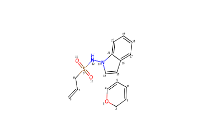 C1=CCOC=C1.C=CCS(=O)(=O)Nn1ccc2ccccc21